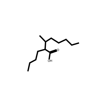 CCCCCC(C)C(CCCC)C(=O)O